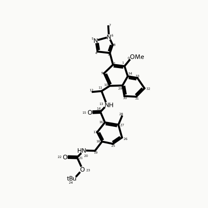 COc1c(-c2cnn(C)c2)cc(C(C)NC(=O)c2cc(CNC(=O)OC(C)(C)C)ccc2C)c2ccccc12